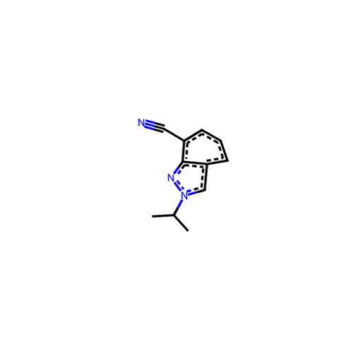 CC(C)n1cc2cccc(C#N)c2n1